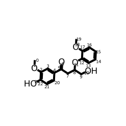 COc1cc(C(=O)CC(CO)Oc2ccccc2OC)ccc1O